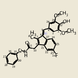 COc1cc(/C=C2/C(C)=C(CC(=O)NOc3ccccc3)c3cc(F)ccc32)cc(OC)c1O